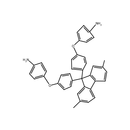 Cc1ccc2c(c1)C(c1ccc(Oc3ccc(N)cc3)cc1)(c1ccc(Oc3ccc(N)cc3)cc1)c1cc(C)ccc1-2